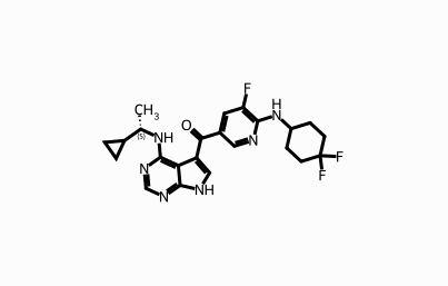 C[C@H](Nc1ncnc2[nH]cc(C(=O)c3cnc(NC4CCC(F)(F)CC4)c(F)c3)c12)C1CC1